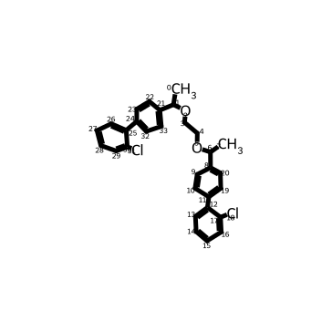 CC(OCCOC(C)c1ccc(-c2ccccc2Cl)cc1)c1ccc(-c2ccccc2Cl)cc1